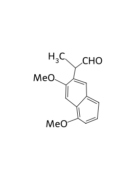 COc1cc2c(OC)cccc2cc1C(C)C=O